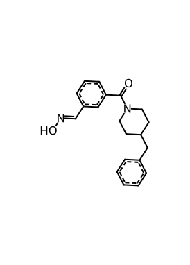 O=C(c1cccc(C=NO)c1)N1CCC(Cc2ccccc2)CC1